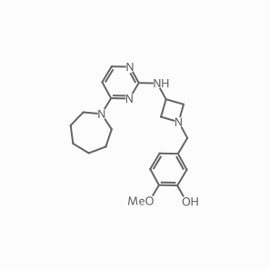 COc1ccc(CN2CC(Nc3nccc(N4CCCCCC4)n3)C2)cc1O